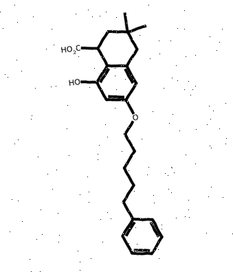 CC1(C)Cc2cc(OCCCCCc3ccccc3)cc(O)c2C(C(=O)O)C1